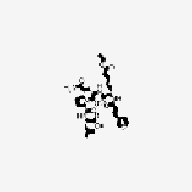 CCOC(=O)C=CCC[C@H](NC(=O)/C=C/c1ccsc1)C(=O)N[C@@H](CCC(N)=O)C(=O)N1CCC[C@H]1C(=O)N[C@@H](CC(C)C)C(=O)OC